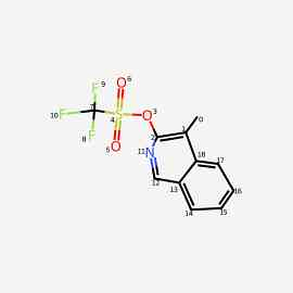 Cc1c(OS(=O)(=O)C(F)(F)F)ncc2ccccc12